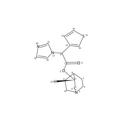 O=C(O[C@H]1CN2CCC1CC2)C(c1ccsc1)n1ccnc1